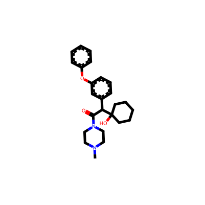 CN1CCN(C(=O)C(c2cccc(Oc3ccccc3)c2)C2(O)CCCCC2)CC1